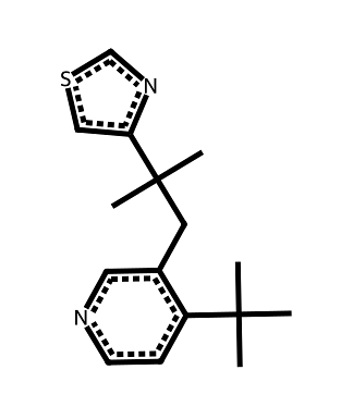 CC(C)(C)c1ccncc1CC(C)(C)c1cscn1